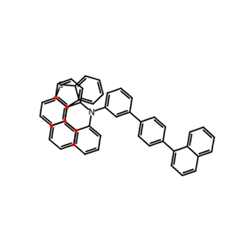 c1ccc(-c2ccccc2N(c2cccc(-c3ccc(-c4cccc5ccccc45)cc3)c2)c2ccccc2-c2cccc3sc4ccccc4c23)cc1